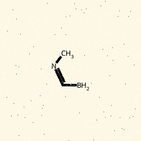 B/C=N\C